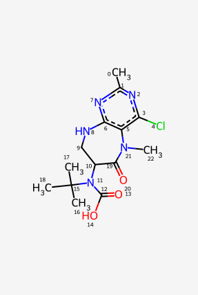 Cc1nc(Cl)c2c(n1)NCC(N(C(=O)O)C(C)(C)C)C(=O)N2C